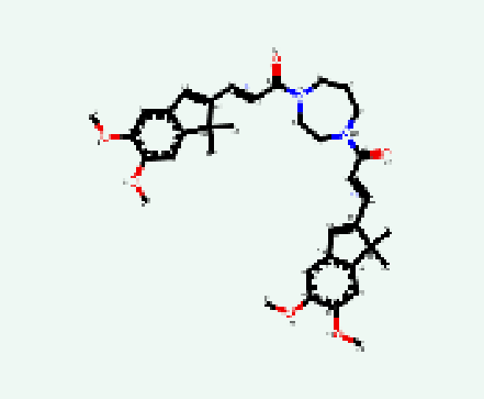 COc1cc2c(cc1OC)C(C)(C)C(/C=C/C(=O)N1CCCN(C(=O)/C=C/C3=Cc4cc(OC)c(OC)cc4C3(C)C)CC1)=C2